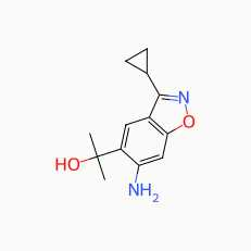 CC(C)(O)c1cc2c(C3CC3)noc2cc1N